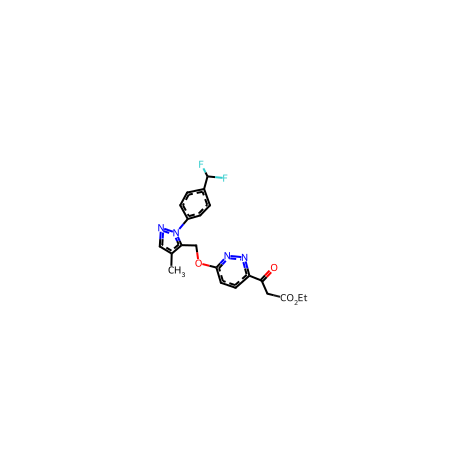 CCOC(=O)CC(=O)c1ccc(OCc2c(C)cnn2-c2ccc(C(F)F)cc2)nn1